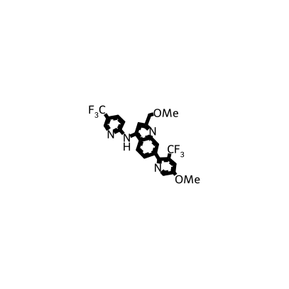 COCc1cc(Nc2ccc(C(F)(F)F)cn2)c2ccc(-c3ncc(OC)cc3C(F)(F)F)cc2n1